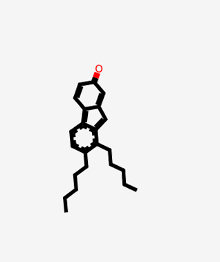 CCCCCc1ccc2c(c1CCCCC)=CC1=CC(=O)C=CC=21